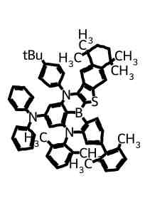 Cc1cccc(C)c1-c1ccc2c(c1)N(c1c(C)cccc1C)c1cc(N(c3ccccc3)c3ccccc3)cc3c1B2c1sc2cc4c(cc2c1N3c1ccc(C(C)(C)C)cc1)C(C)(C)CCC4(C)C